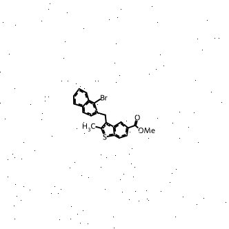 COC(=O)c1ccc2sc(C)c(Cc3ccc4ccccc4c3Br)c2c1